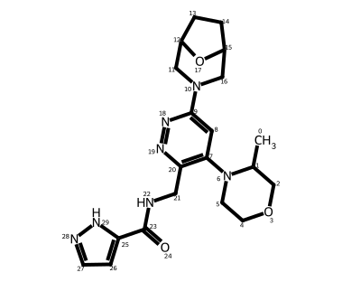 CC1COCCN1c1cc(N2CC3CCC(C2)O3)nnc1CNC(=O)c1ccn[nH]1